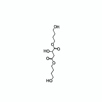 O=C(CC(O)C(=O)OCCCCO)OCCCCO